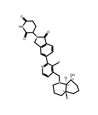 O=C1CCC(N2Cc3cc(-c4nccc(CN5CCC[C@H]6CCC[C@@H](O)[C@@H]65)c4F)ccc3C2=O)C(=O)N1